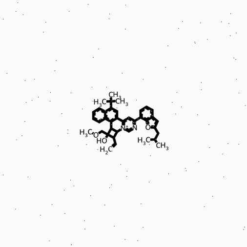 C=CC1C2C(c3c(cc(C(C)(C)C)c4ccccc34)-c3cc(-c4cccc5cc(CC(C)C)oc45)nc[n+]32)C1(O)COC